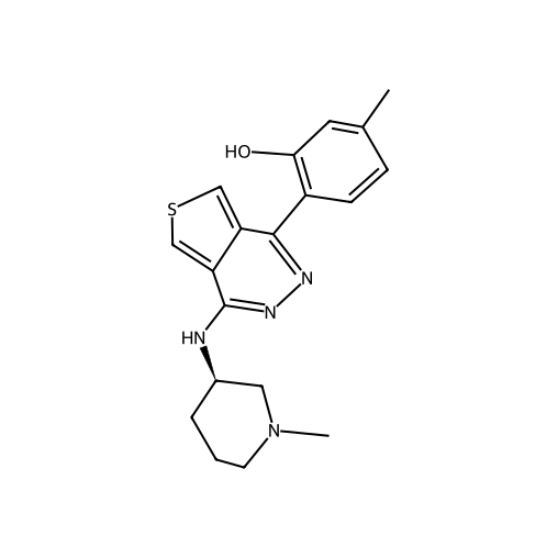 Cc1ccc(-c2nnc(N[C@@H]3CCCN(C)C3)c3cscc23)c(O)c1